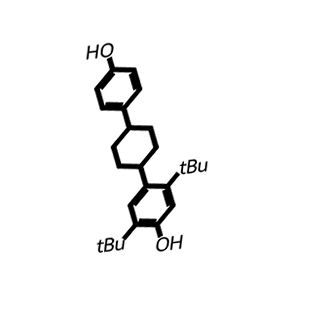 CC(C)(C)c1cc(C2CCC(c3ccc(O)cc3)CC2)c(C(C)(C)C)cc1O